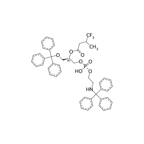 CC(CC(=O)O[C@H](COC(c1ccccc1)(c1ccccc1)c1ccccc1)COP(=O)(O)OCCNC(c1ccccc1)(c1ccccc1)c1ccccc1)C(F)(F)F